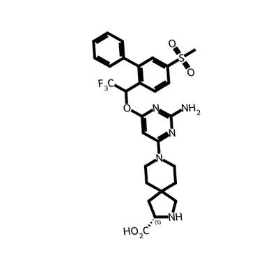 CS(=O)(=O)c1ccc(C(Oc2cc(N3CCC4(CC3)CN[C@H](C(=O)O)C4)nc(N)n2)C(F)(F)F)c(-c2ccccc2)c1